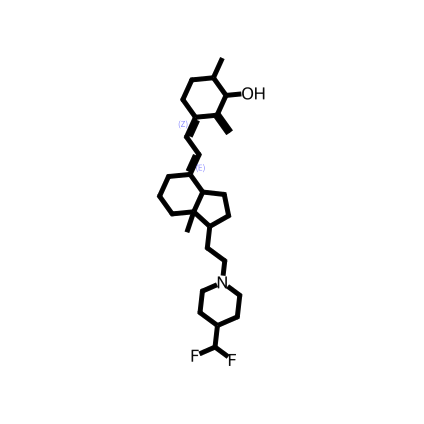 C=C1/C(=C\C=C2/CCCC3(C)C(CCN4CCC(C(F)F)CC4)CCC23)CCC(C)C1O